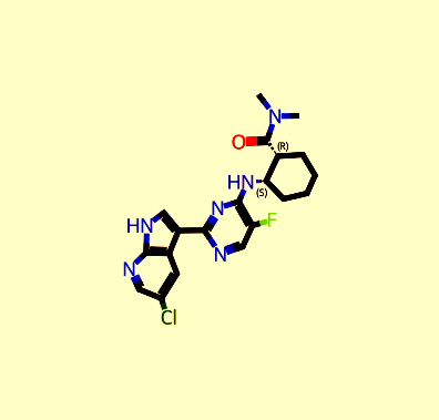 CN(C)C(=O)[C@@H]1CCCC[C@@H]1Nc1nc(-c2c[nH]c3ncc(Cl)cc23)ncc1F